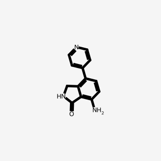 Nc1ccc(-c2ccncc2)c2c1C(=O)NC2